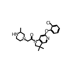 CC1CN(CC(=O)N2CC(C)(C)c3cnc(Oc4ccccc4Cl)cc32)CCN1